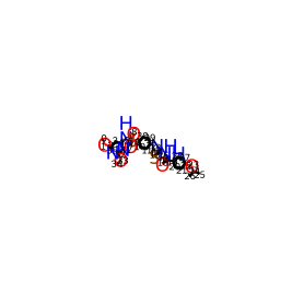 COc1cc(NS(=O)(=O)c2ccc(NC(=S)NC(=O)c3ccc(OC(C)C)cc3)cc2)nc(OC)n1